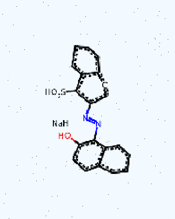 O=S(=O)(O)c1c(N=Nc2c(O)ccc3ccccc23)ccc2ccccc12.[NaH]